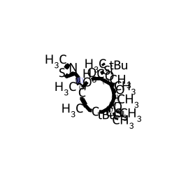 CC1=CC[C@@H](/C(C)=C/c2csc(C)n2)OC(=O)C[C@H](O[Si](C)(C)C(C)(C)C)C(C)(C)C(=O)[C@H](C)[C@@H](O[Si](C)(C)C(C)(C)C)[C@@H](C)CCC1